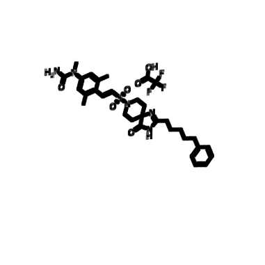 Cc1cc(N(C)C(N)=O)cc(C)c1C=CS(=O)(=O)N1CCC2(CC1)N=C(CCCCCc1ccccc1)NC2=O.O=C(O)C(F)(F)F